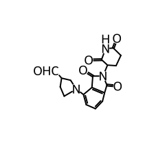 O=CC1CCN(c2cccc3c2C(=O)N(C2CCC(=O)NC2=O)C3=O)C1